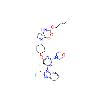 CCCCOC(=O)N[C@@H]1CCN([C@H]2CC[C@H](Oc3cc(-n4c(C(F)F)nc5ccccc54)nc(N4CCOCC4)n3)CC2)C1=O